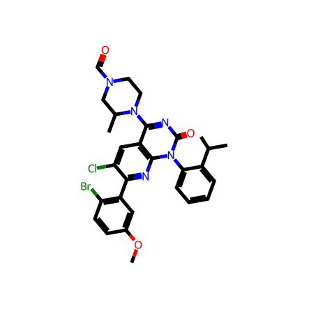 COc1ccc(Br)c(-c2nc3c(cc2Cl)c(N2CCN(C=O)CC2C)nc(=O)n3-c2ccccc2C(C)C)c1